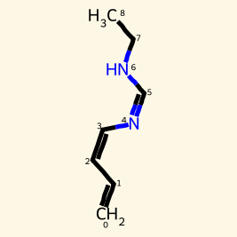 C=C/C=C\N=C/NCC